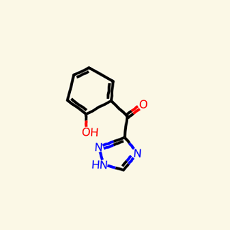 O=C(c1nc[nH]n1)c1ccccc1O